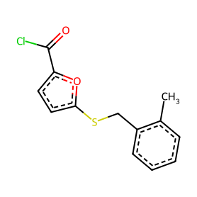 Cc1ccccc1CSc1ccc(C(=O)Cl)o1